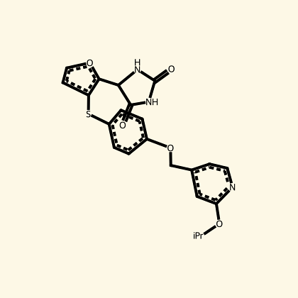 CC(C)Oc1cc(COc2ccc(Sc3ccoc3C3NC(=O)NC3=O)cc2)ccn1